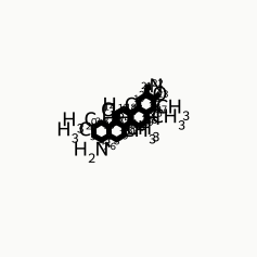 CC1(C)CC[C@]2(CN)CC[C@]3(C)[C@H](C(=O)C=C4[C@@]5(C)Cc6cnoc6C(C)(C)[C@@H]5CC[C@]43C)[C@@H]2C1